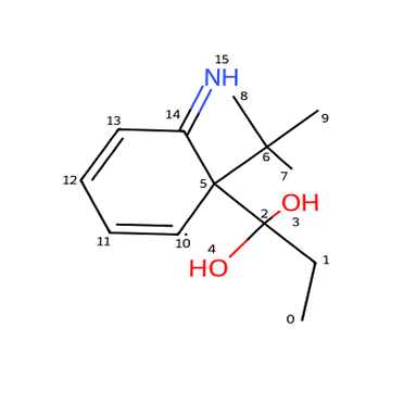 CCC(O)(O)C1(C(C)(C)C)[C]=CC=CC1=N